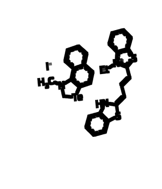 CC[n+]1c(C=CC=C2Nc3ccccc3S2)sc2ccccc21.CN1C[Te]c2ccc3ccccc3c21.[I-]